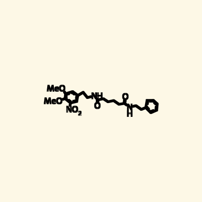 COc1cc(CCNC(=O)CCCCC(=O)NCCc2ccccc2)cc([N+](=O)[O-])c1OC